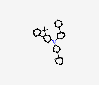 CC1(C)c2ccccc2-c2ccc(N(c3ccc(-c4ccccc4)cc3)c3cccc(-c4ccccc4)c3)cc21